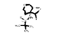 CC(C)(C)[S@@+]([O-])N[C@]1(C(F)F)CCOC[C@@H]1N